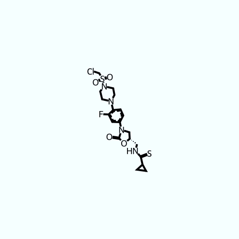 O=C1O[C@@H](CNC(=S)C2CC2)CN1c1ccc(N2CCN(S(=O)(=O)CCl)CC2)c(F)c1